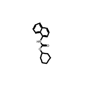 O=C(Nc1cccc2ccccc12)OC1CCCCC1